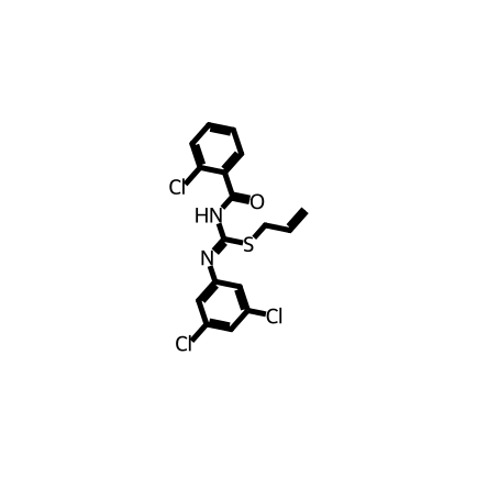 C=CCSC(=Nc1cc(Cl)cc(Cl)c1)NC(=O)c1ccccc1Cl